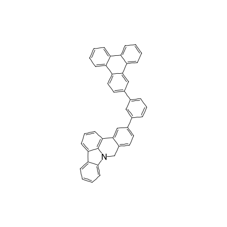 c1cc(-c2ccc3c(c2)-c2cccc4c5ccccc5n(c24)C3)cc(-c2ccc3c4ccccc4c4ccccc4c3c2)c1